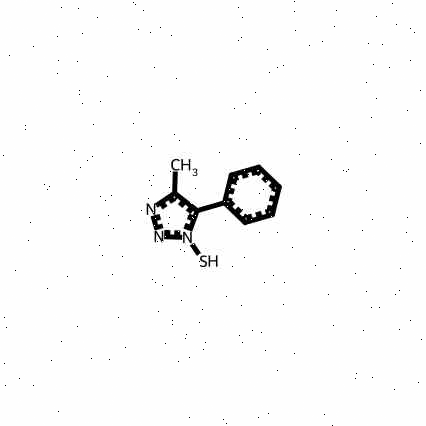 Cc1nnn(S)c1-c1ccccc1